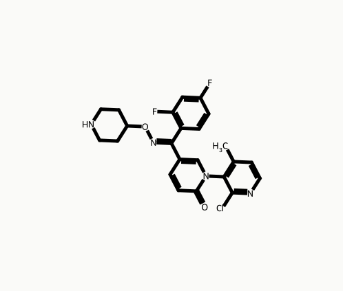 Cc1ccnc(Cl)c1-n1cc(C(=NOC2CCNCC2)c2ccc(F)cc2F)ccc1=O